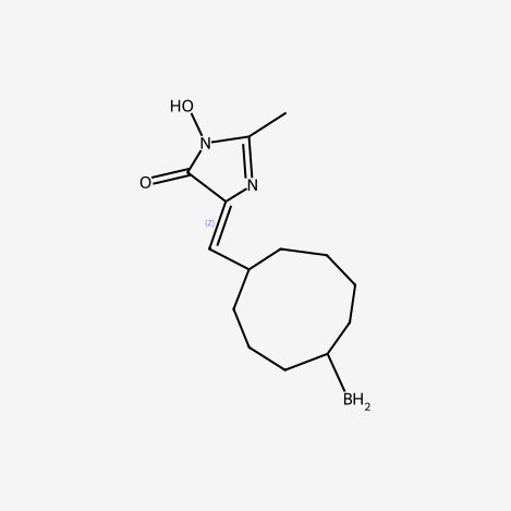 BC1CCCCC(/C=C2\N=C(C)N(O)C2=O)CCC1